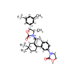 COc1ccc(N2CCOC2=O)cc1C1=C(CN2C(=O)O[C@H](c3cc(C)cc(C(F)(F)F)c3)[C@@H]2C)CC(C)(C)CC1